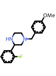 COc1ccc(CN2CCNC(c3ccccc3F)C2)cc1